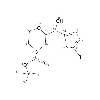 CC(C)(C)OC(=O)N1CCOC(C(O)c2ccc(I)s2)C1